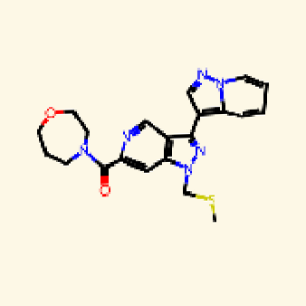 CSCn1nc(-c2cnn3ccccc23)c2cnc(C(=O)N3CCCOCC3)cc21